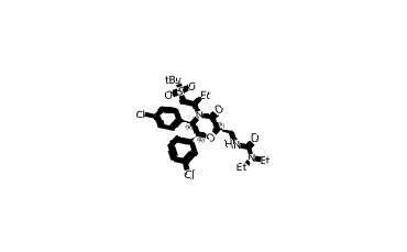 CCC(CS(=O)(=O)C(C)(C)C)N1C(=O)[C@@H](CNC(=O)N(CC)CC)O[C@H](c2cccc(Cl)c2)[C@H]1c1ccc(Cl)cc1